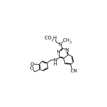 CN(CC(=O)O)c1nc(NCc2ccc3c(c2)OOC3)c2cc(C#N)ccc2n1